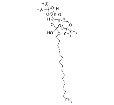 CCCCCCCCCCCCCCCCOP(=O)(O)O[C@@H]1[C@H]2OC(C)(C)O[C@H]2O[C@@H]1[C@H]1COC(C)(C)O1